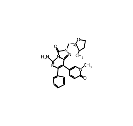 CC1CCO[C@H]1Cn1nc2c(-c3ccc(=O)n(C)c3)c(-c3ccccc3)nc(N)n2c1=O